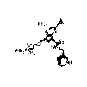 C[Si](C)(C)CCOCn1cc(C(=O)NCC2CCCNC2)c2nc(C3CC3)cnc21.Cl